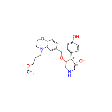 COCCCN1CCOc2ccc(COC3CNC[C@@H](O)[C@@H]3c3ccc(O)cc3)cc21